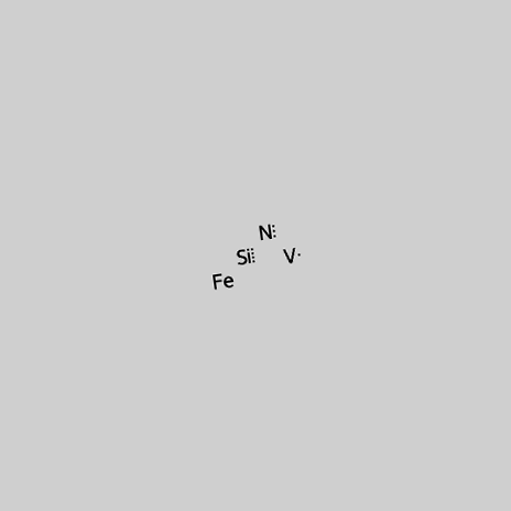 [Fe].[N].[Si].[V]